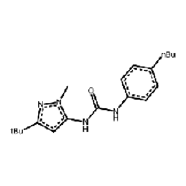 CCCCc1ccc(NC(=O)Nc2cc(C(C)(C)C)nn2C)cc1